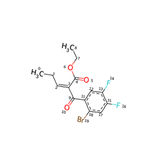 CCC=C(C(=O)OCC)C(=O)c1cc(F)c(F)cc1Br